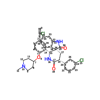 C#Cc1ccc(OC2CCN(C)CC2)c([C@H]2NC(=O)[C@@H](c3cccc(Cl)c3)C[C@]23C(=O)Nc2cc(Cl)ccc23)c1